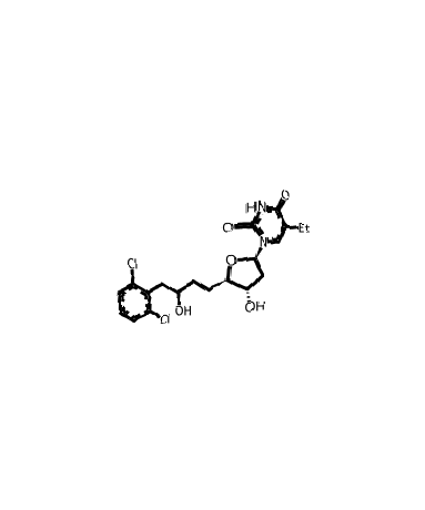 CCc1cn([C@H]2C[C@H](O)[C@@H](CCC(O)Cc3c(Cl)cccc3Cl)O2)c(=O)[nH]c1=O